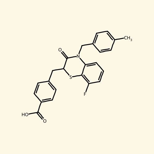 Cc1ccc(CN2C(=O)C(Cc3ccc(C(=O)O)cc3)Sc3c(F)cccc32)cc1